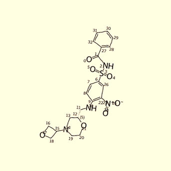 O=C(NS(=O)(=O)c1ccc(NC[C@H]2CN(C3COC3)CCO2)c([N+](=O)[O-])c1)c1ccccc1